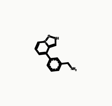 NCc1cccc(C2=CC=CN3ONC=C23)c1